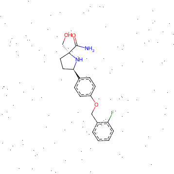 NC(=O)[C@]1(CO)CC[C@H](c2ccc(OCc3ccccc3F)cc2)N1